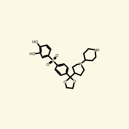 O=S(=O)(c1ccc(C2(C3CCN(C4CCNCC4)CC3)OCCO2)cc1)c1ccc(O)c(O)c1